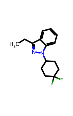 CCc1nn(C2CCC(F)(F)CC2)c2ccccc12